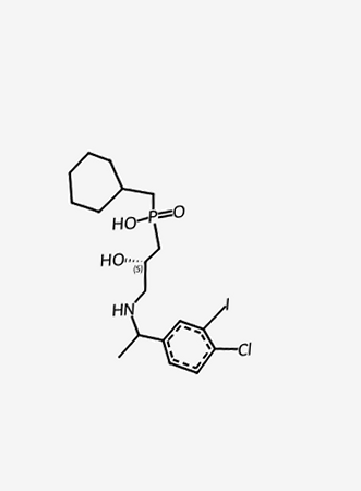 CC(NC[C@H](O)CP(=O)(O)CC1CCCCC1)c1ccc(Cl)c(I)c1